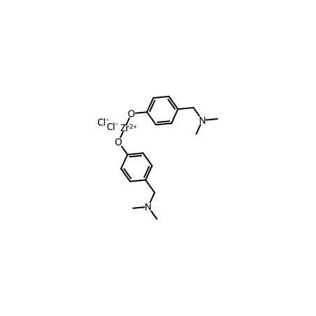 CN(C)Cc1ccc([O][Zr+2][O]c2ccc(CN(C)C)cc2)cc1.[Cl-].[Cl-]